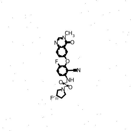 Cn1cnc2ccc(Oc3c(F)ccc(NS(=O)(=O)N4CC[C@H](F)C4)c3C#N)cc2c1=O